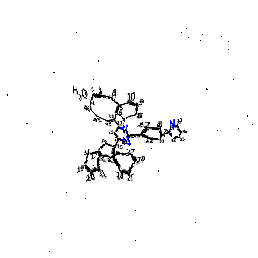 C[C@@H]1/C=C\CC2=C(CCC=C2)/C(c2cc(-c3cc4ccccc4c4ccccc34)nc(-c3ccc(-c4ccccn4)cc3)n2)=C\CC1